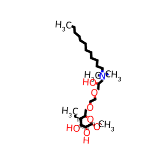 CCCCCCCCCCCC[N+](C)(C)CC(O)COCCOCC1O[C@@H](OC)[C@@H](O)[C@H](O)[C@H]1CC